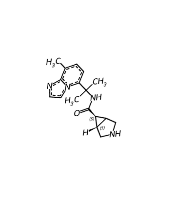 Cc1ccc(C(C)(C)NC(=O)[C@H]2C3CNC[C@@H]32)n2ccnc12